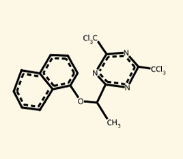 CC(Oc1cccc2ccccc12)c1nc(C(Cl)(Cl)Cl)nc(C(Cl)(Cl)Cl)n1